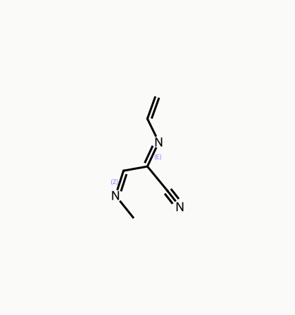 C=C/N=C(C#N)\C=N/C